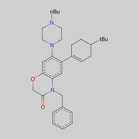 CCCCN1CCN(c2cc3c(cc2C2=CCC(C(C)(C)C)CC2)N(Cc2ccccc2)C(=O)CO3)CC1